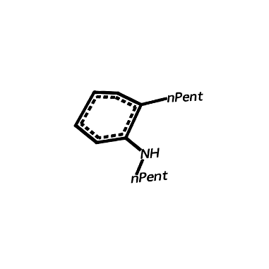 CCCCCNc1ccccc1CCCCC